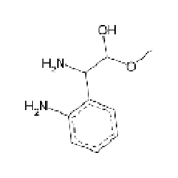 COC(O)C(N)c1ccccc1N